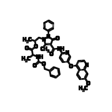 COc1ccc2c(Oc3ccc(NC(=O)c4c(C)n(CC(C)OC(=O)C(C)NC(=O)OCc5ccccc5)n(-c5ccccc5)c4=O)nc3)ccnc2c1